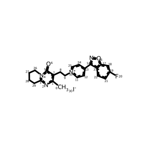 Cc1nc2n(c(=O)c1CC[n+]1ccc(-c3noc4cc(F)ccc34)cc1)CCCC2.[I-]